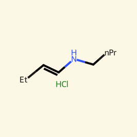 CCC=CNCCCC.Cl